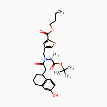 CCCCOC(=O)c1cc(CN(C(=O)CC2CCCc3cc(O)ccc32)[C@H](C)C(=O)OC(C)(C)C)cs1